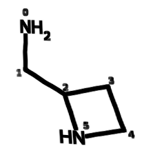 NCC1CCN1